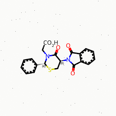 O=C(O)CN1C(=O)[C@@H](N2C(=O)c3ccccc3C2=O)CS[C@@H]1c1ccccc1